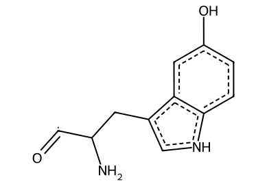 NC([C]=O)Cc1c[nH]c2ccc(O)cc12